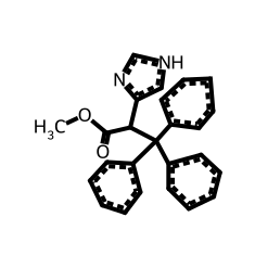 COC(=O)C(c1c[nH]cn1)C(c1ccccc1)(c1ccccc1)c1ccccc1